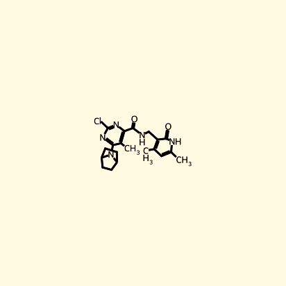 Cc1cc(C)c(CNC(=O)c2nc(Cl)nc(N3C4CCC3CC4)c2C)c(=O)[nH]1